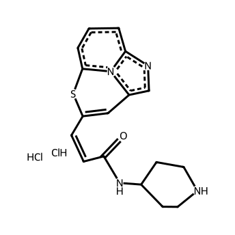 Cl.Cl.O=C(/C=C\C1=Cc2cnc3cccc(n23)S1)NC1CCNCC1